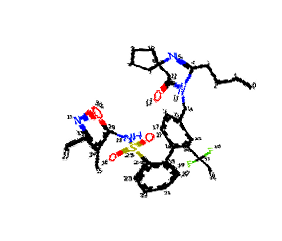 CCCCC1=NC2(CCCC2)C(=O)N1Cc1ccc(-c2ccccc2S(=O)(=O)Nc2onc(C)c2C)c(C(C)(F)F)c1